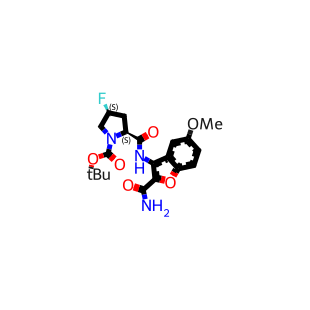 COc1ccc2oc(C(N)=O)c(NC(=O)[C@@H]3C[C@H](F)CN3C(=O)OC(C)(C)C)c2c1